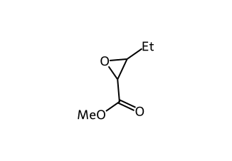 CCC1OC1C(=O)OC